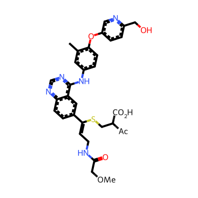 COCC(=O)NCC=C(SCC(C(C)=O)C(=O)O)c1ccc2ncnc(Nc3ccc(Oc4ccc(CO)nc4)c(C)c3)c2c1